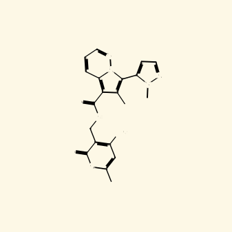 COc1cc(C)[nH]c(=O)c1CNC(=O)c1c(C)c(-c2ccnn2C)n2ncccc12